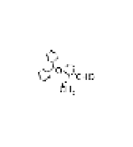 C=CCc1ccccc1C=O.O=C(c1ccccc1)c1ccccc1